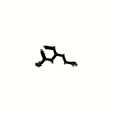 CCCC([C]=O)OC(C)=O